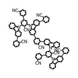 N#Cc1cccc(-c2cc(-n3c4ccccc4c4cc(-c5ccccc5C#N)ccc43)c(C#N)c(-n3c4ccc(-c5ccc(C#N)c(-c6ccc7c8ccccc8n(-c8cc(-c9cccc(C#N)c9)cc(-n9c%10ccccc%10c%10ccc(-c%11ccccc%11C#N)cc%109)c8C#N)c7c6)c5)cc4c4cc(-c5ccccc5C#N)ccc43)c2)c1